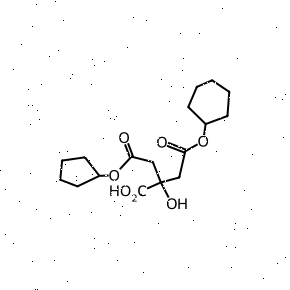 O=C(CC(O)(CC(=O)OC1CCCC1)C(=O)O)OC1CCCCC1